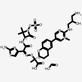 C[n+]1cc(-c2ccc3c(c2)CC[C@H](C(C)(O/N=C(\C(=O)N[C@@H]2C(=O)N(OS(=O)(=O)[O-])C2(C)C)c2csc(N)n2)C(=O)O)O3)cnc1NCC(O)CN.O=CO